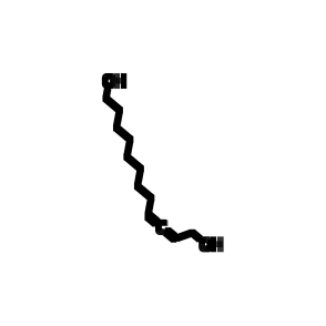 OCC=C=CCCCCCCCCO